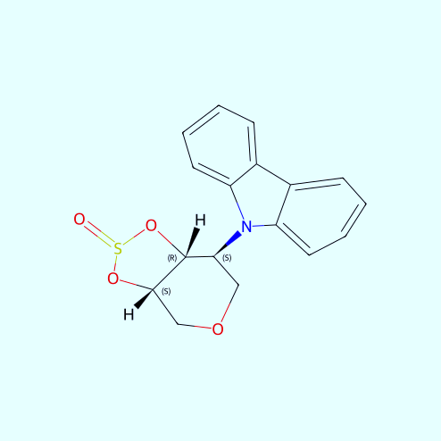 O=S1O[C@H]2[C@H](COC[C@@H]2n2c3ccccc3c3ccccc32)O1